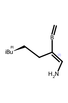 C=B/C(=C/N)CC[C@H](C)CC